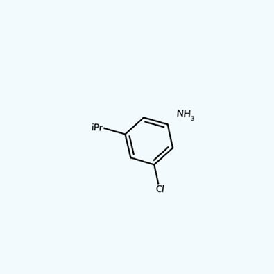 CC(C)c1cccc(Cl)c1.N